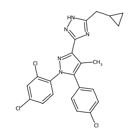 Cc1c(-c2n[nH]c(CC3CC3)n2)nn(-c2ccc(Cl)cc2Cl)c1-c1ccc(Cl)cc1